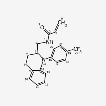 C=CC(=O)NCC1CCc2ccccc2N1c1ccc(C(F)(F)F)cc1